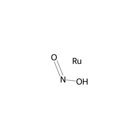 O=NO.[Ru]